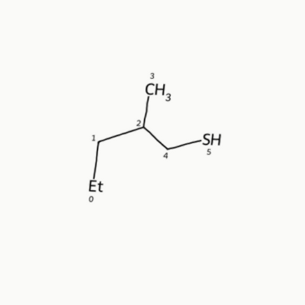 CCCC(C)CS